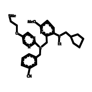 CCN(CC1CCCC1)c1ccc(OC)nc1CN(Cc1cccc(C#N)c1)c1ncc(OCCSC)cn1